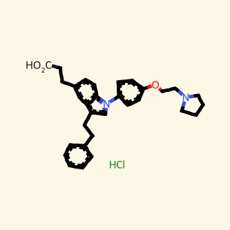 Cl.O=C(O)CCc1ccc2c(c1)c(CCc1ccccc1)cn2-c1ccc(OCCN2CCCC2)cc1